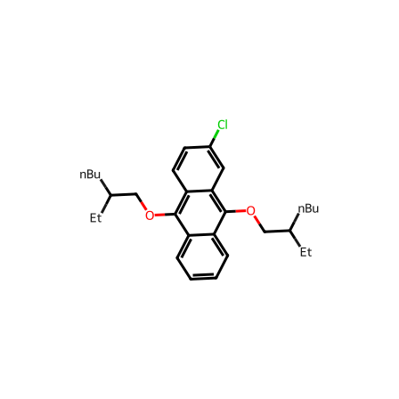 CCCCC(CC)COc1c2ccccc2c(OCC(CC)CCCC)c2cc(Cl)ccc12